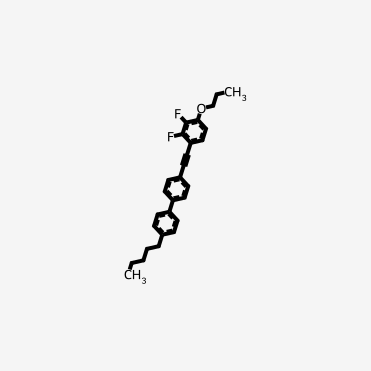 CCCCCc1ccc(-c2ccc(C#Cc3ccc(OCCC)c(F)c3F)cc2)cc1